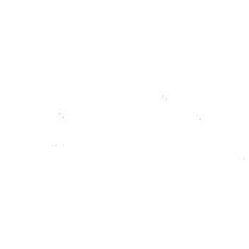 CCCCCCCC(CCCCC)NCc1ccc(CN2CCN(CC(C)CCCC)CC2)cc1